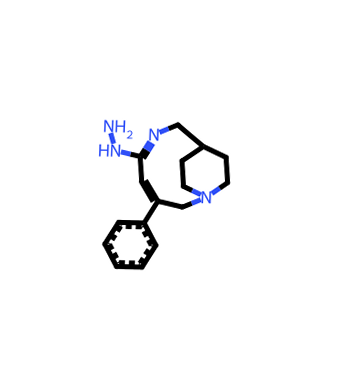 NNC1=N/CC2CCN(CC2)C/C(c2ccccc2)=C\1